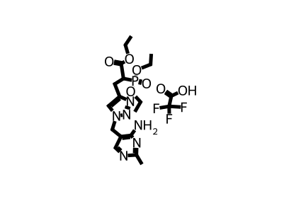 CCOC(=O)C(Cc1cn(Cc2cnc(C)nc2N)nn1)P(=O)(OCC)OCC.O=C(O)C(F)(F)F